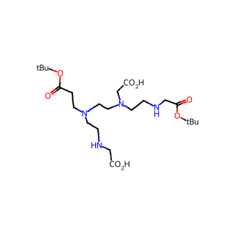 CC(C)(C)OC(=O)CCN(CCNCC(=O)O)CCN(CCNCC(=O)OC(C)(C)C)CC(=O)O